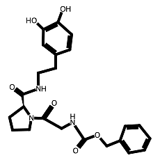 O=C(NCC(=O)N1CCC[C@H]1C(=O)NCCc1ccc(O)c(O)c1)OCc1ccccc1